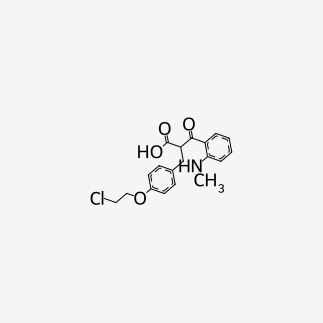 CNc1ccccc1C(=O)C(Cc1ccc(OCCCl)cc1)C(=O)O